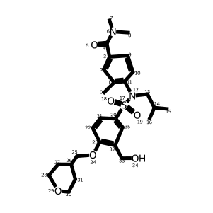 Cc1cc(C(=O)N(C)C)ccc1N(CC(C)C)S(=O)(=O)c1ccc(OCC2CCOCC2)c(CO)c1